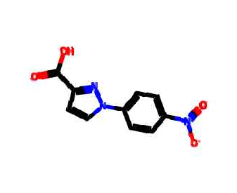 O=C(O)c1ccn(-c2ccc([N+](=O)[O-])cc2)n1